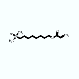 C=CC(=O)OCCCCCCCC[Si](C)(C)Br